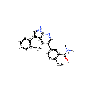 COc1ccc(-c2cnc3[nH]cc(-c4ccccc4OC)c3c2)cc1C(=O)N(C)C